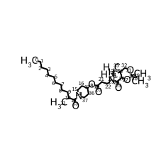 CCCCCCCCCCC(C)C(=O)N1CCC(OC(=O)CCNC(=O)C2OC(C)(C)OCC2(C)C)CC1